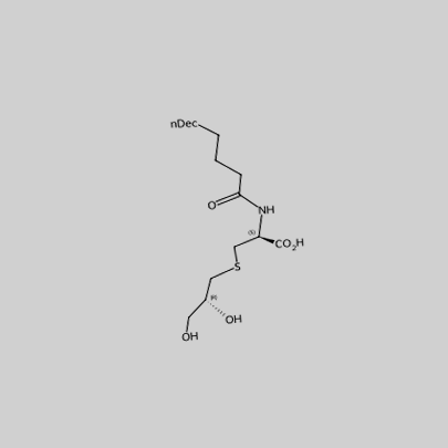 CCCCCCCCCCCCCC(=O)N[C@H](CSC[C@H](O)CO)C(=O)O